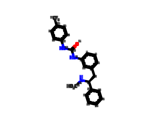 O=C(O)N[C@@H](Cc1cccc(NC(=O)Nc2ccc(C(F)(F)F)cc2)c1)c1ccccc1